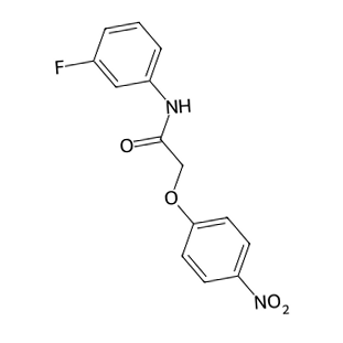 O=C(COc1ccc([N+](=O)[O-])cc1)Nc1cccc(F)c1